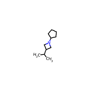 CC(C)C1CN(C2CCCC2)C1